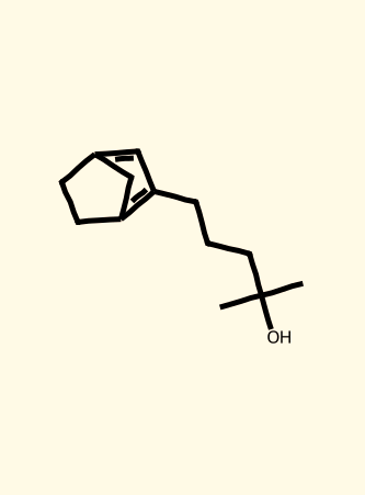 CC(C)(O)CCCC1=C2CCC(=C1)C2